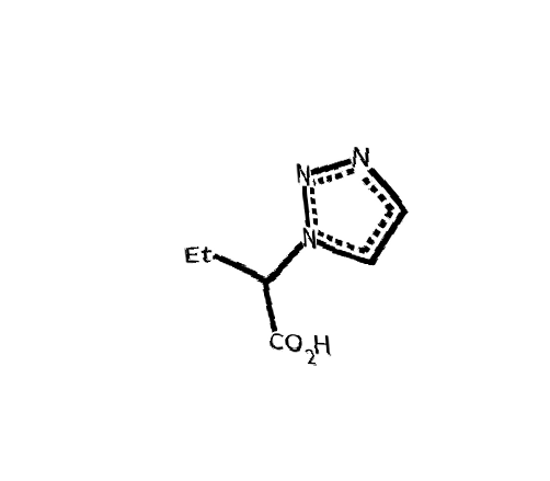 CCC(C(=O)O)n1ccnn1